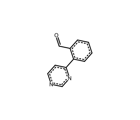 O=Cc1ccccc1-c1ccncn1